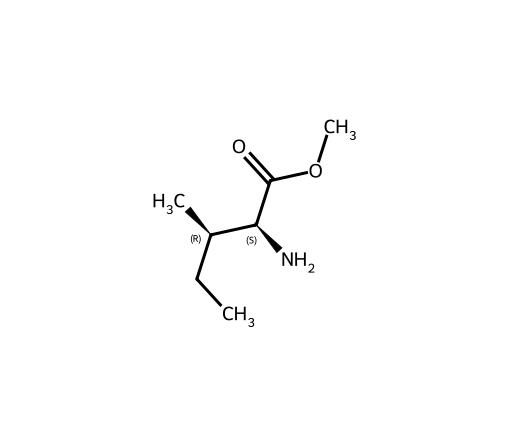 CC[C@@H](C)[C@H](N)C(=O)OC